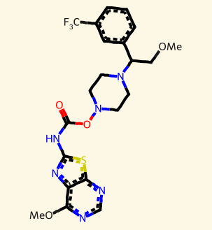 COCC(c1cccc(C(F)(F)F)c1)N1CCN(OC(=O)Nc2nc3c(OC)ncnc3s2)CC1